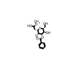 COC(O)C[C@@H]1O[C@@H](CO)[C@@H](O)[C@H](OCc2ccccc2)[C@H]1OC